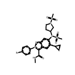 CNC(=O)c1c2cc(C3CC3)c(N(C3CCN(S(C)(=O)=O)C3)S(C)(=O)=O)cc2nn1-c1ccc(Br)cc1